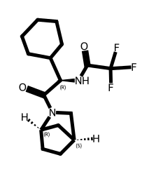 O=C([C@H](NC(=O)C(F)(F)F)C1CCCCC1)N1C[C@H]2CC[C@@H]1C2